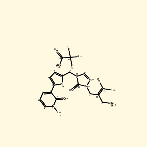 CCn1cccc(-c2ccc(Cn3cnn(CC(CN)=C(F)F)c3=O)s2)c1=O.O=C(O)C(F)(F)F